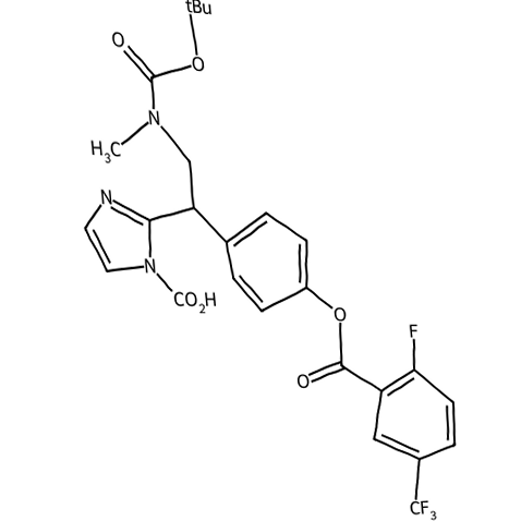 CN(CC(c1ccc(OC(=O)c2cc(C(F)(F)F)ccc2F)cc1)c1nccn1C(=O)O)C(=O)OC(C)(C)C